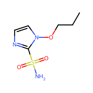 CCCOn1ccnc1S(N)(=O)=O